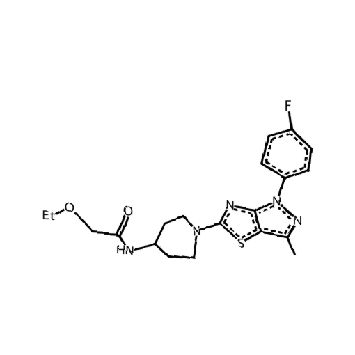 CCOCC(=O)NC1CCN(c2nc3c(s2)c(C)nn3-c2ccc(F)cc2)CC1